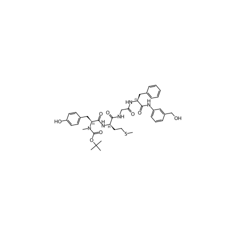 CSCC[C@@H](NC(=O)[C@H](Cc1ccc(O)cc1)N(C)C(=O)OC(C)(C)C)C(=O)NCC(=O)N[C@@H](Cc1ccccc1)C(=O)Nc1cccc(CO)c1